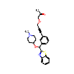 CC(=O)COCC#Cc1cccc(C(OC2CCN(C)CC2)c2nc3ccccc3s2)c1